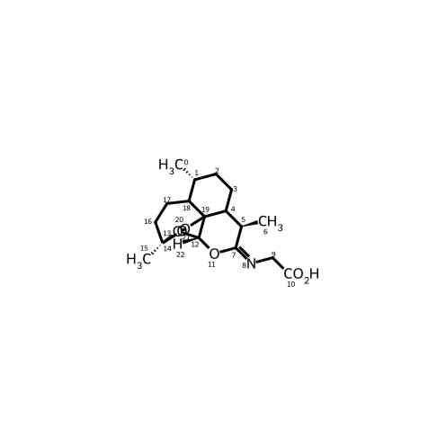 C[C@@H]1CCC2[C@@H](C)/C(=N\CC(=O)O)O[C@@H]3O[C@]4(C)CCC1C23OO4